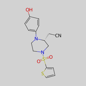 N#CC[C@@H]1CN(S(=O)(=O)c2cccs2)CCN1c1ccc(O)cc1